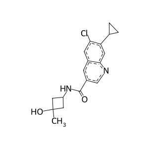 CC1(O)CC(NC(=O)c2cnc3cc(C4CC4)c(Cl)cc3c2)C1